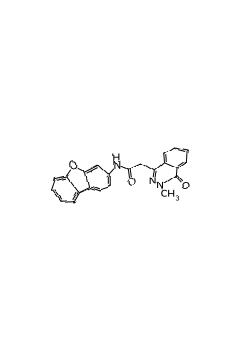 Cn1nc(CC(=O)Nc2ccc3c(c2)oc2ccccc23)c2ccccc2c1=O